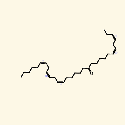 CC/C=C\C/C=C\CCCCCC(=O)CCCCC/C=C\C/C=C\C/C=C\CCCCC